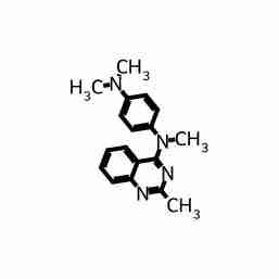 Cc1nc(N(C)c2ccc(N(C)C)cc2)c2ccccc2n1